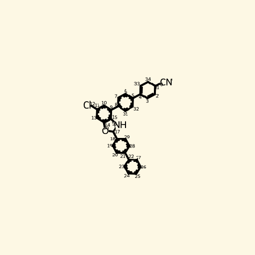 N#CC1C=CC(c2ccc(-c3cc(Cl)cc4c3NC(c3ccc(-c5ccccc5)cc3)O4)cc2)=CC1